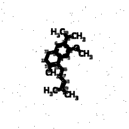 COc1cc2c(cc1C(C)C)CCC(C)=C2CCC=C(C)C